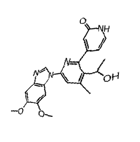 COc1cc2ncn(-c3cc(C)c(C(C)O)c(-c4cc[nH]c(=O)c4)n3)c2cc1OC